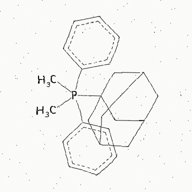 CP(C)(c1ccccc1)(c1ccccc1)C12CC3CC(CC(C3)C1)C2